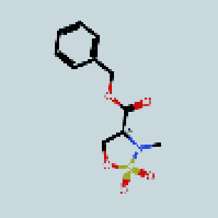 CN1[C@H](C(=O)OCc2ccccc2)COS1(=O)=O